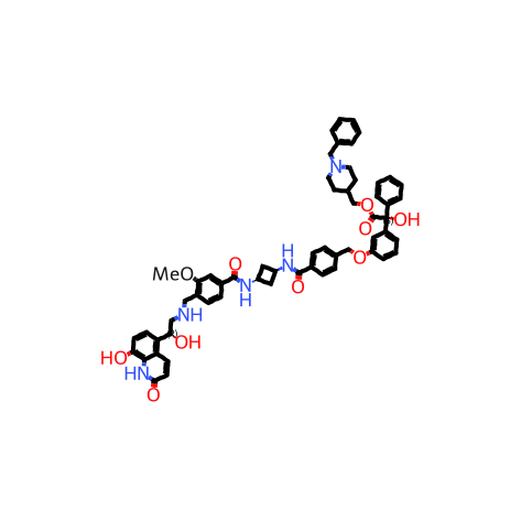 COc1cc(C(=O)N[C@H]2C[C@H](NC(=O)c3ccc(COc4cccc([C@](O)(C(=O)OCC5CCN(Cc6ccccc6)CC5)c5ccccc5)c4)cc3)C2)ccc1CNC[C@H](O)c1ccc(O)c2[nH]c(=O)ccc12